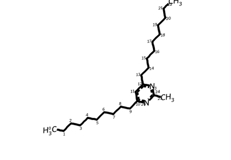 CCCCCCCCCCc1cc(CCCCCCCCCC)nc(C)n1